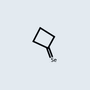 [Se]=C1CCC1